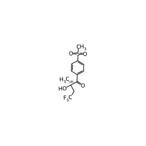 C[C@@](O)(CC(F)(F)F)C(=O)c1ccc(S(C)(=O)=O)cc1